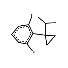 CC(C)C1(c2c(F)cccc2F)CC1